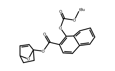 CC(C)(C)OC(=O)Oc1c(C(=O)OC23C=CC(CC2)O3)ccc2ccccc12